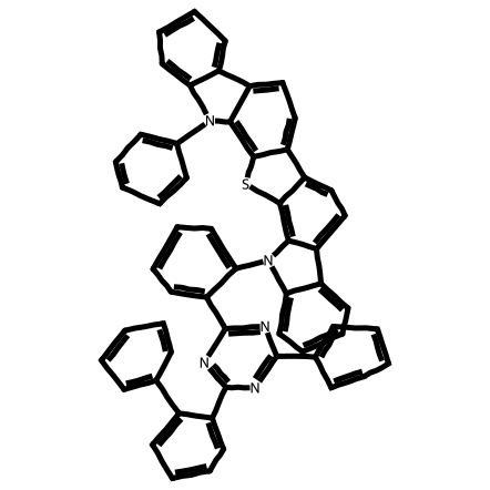 c1ccc(-c2nc(-c3ccccc3-c3ccccc3)nc(-c3ccccc3-n3c4ccccc4c4ccc5c6ccc7c8ccccc8n(-c8ccccc8)c7c6sc5c43)n2)cc1